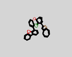 Clc1c(Oc2cccc(-c3cccc4c5c(oc34)C=CCC5)c2)cccc1-c1cc2c(s1)C=CC=CC2